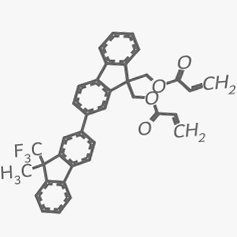 C=CC(=O)OCC1(COC(=O)C=C)c2ccccc2-c2ccc(-c3ccc4c(c3)C(C)(C(F)(F)F)c3ccccc3-4)cc21